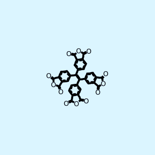 O=C1OC(=O)c2cc(C(=C(c3ccc4c(c3)C(=O)OC4=O)c3ccc4c(c3)C(=O)OC4=O)c3ccc4c(c3)C(=O)OC4=O)ccc21